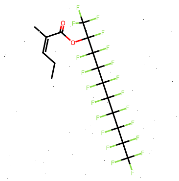 CCC=C(C)C(=O)OC(F)(C(F)(F)F)C(F)(F)C(F)(F)C(F)(F)C(F)(F)C(F)(F)C(F)(F)C(F)(F)C(F)(F)F